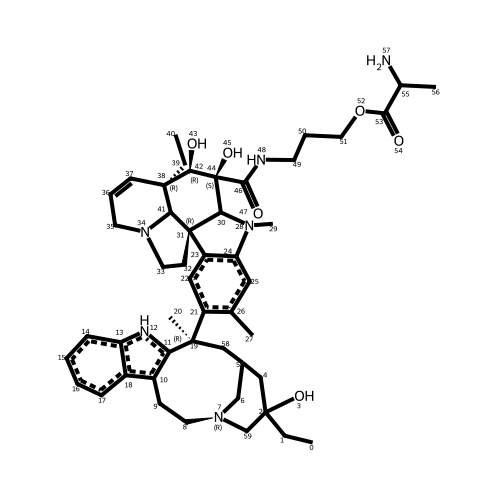 CCC1(O)CC2C[N@](CCc3c([nH]c4ccccc34)[C@@](C)(c3cc4c(cc3C)N(C)C3[C@]45CCN4CC=C[C@](CC)(C45)[C@@H](O)[C@]3(O)C(=O)NCCCOC(=O)C(C)N)C2)C1